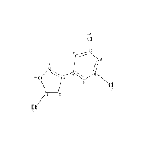 CCC1CC(c2cc(Cl)cc(Cl)c2)=NO1